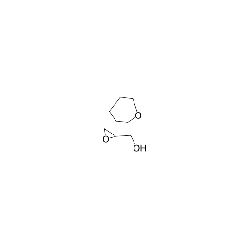 C1CCOCC1.OCC1CO1